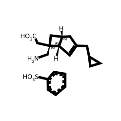 NC[C@@]1(CC(=O)O)C[C@@H]2CC(CC3CC3)=C[C@@H]21.O=S(=O)(O)c1ccccc1